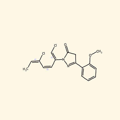 C\C=C(Cl)/C=C\C(=C\Cl)N1N=C(c2ccccc2OC)CC1=O